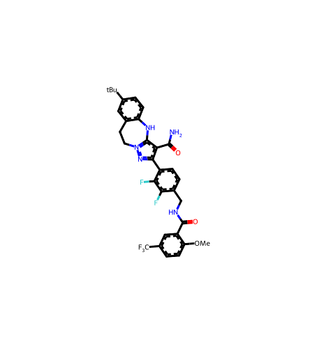 COc1ccc(C(F)(F)F)cc1C(=O)NCc1ccc(-c2nn3c(c2C(N)=O)Nc2ccc(C(C)(C)C)cc2CC3)c(F)c1F